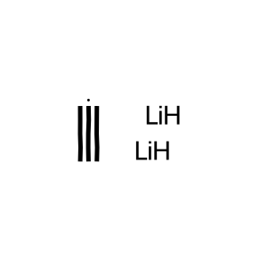 [C]#C.[LiH].[LiH]